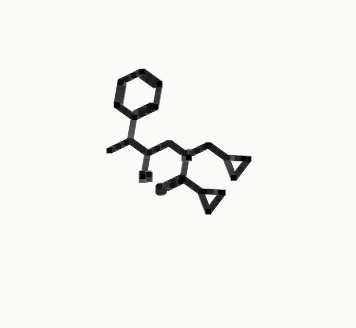 CCC(CN(CC1CC1)C(=O)C1CC1)C(C)c1ccccc1